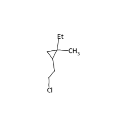 CCC1(C)CC1CCCl